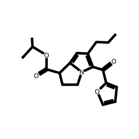 CCCc1cc2n(c1C(=O)c1ccco1)CCC2C(=O)OC(C)C